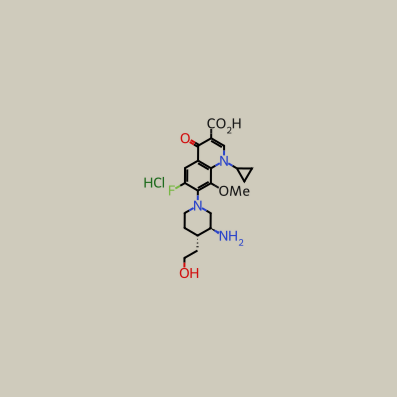 COc1c(N2CC[C@@H](CCO)[C@H](N)C2)c(F)cc2c(=O)c(C(=O)O)cn(C3CC3)c12.Cl